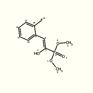 COP(=O)(OC)/C(O)=C/c1ccccc1F